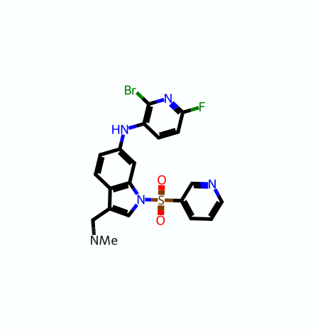 CNCc1cn(S(=O)(=O)c2cccnc2)c2cc(Nc3ccc(F)nc3Br)ccc12